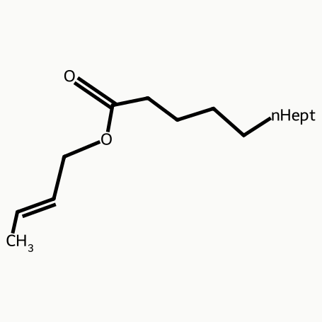 CC=CCOC(=O)CCCCCCCCCCC